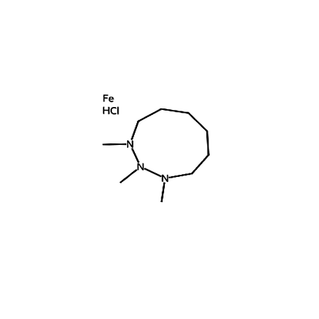 CN1CCCCCCN(C)N1C.Cl.[Fe]